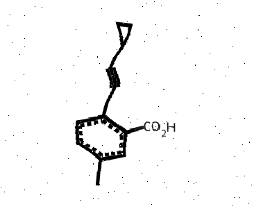 Cc1ccc(C#CC2CC2)c(C(=O)O)c1